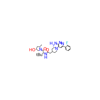 C[C@@H]1C[C@@H](O)CN1C(=O)[C@@H](NC(=O)CC1CCN(c2cc(-c3ccccc3F)nnc2N)CC1)C(C)(C)C